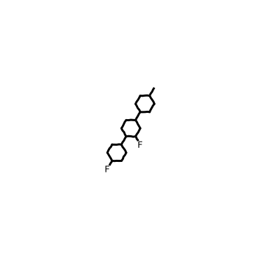 CC1CCC(C2CCC(C3CCC(F)CC3)C(F)C2)CC1